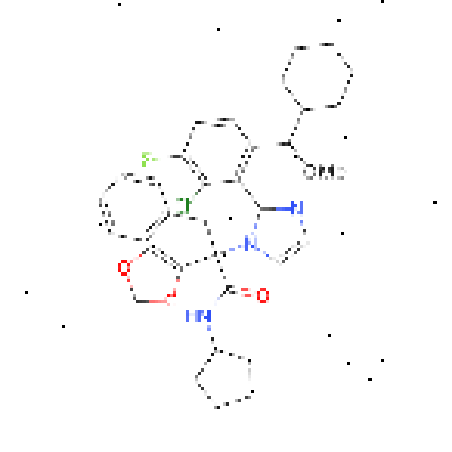 COC(c1ccc(F)c(Cl)c1-c1nccn1C(Cc1ccccc1)(C(=O)NC1CCCC1)C1=COCO1)C1CCCCC1